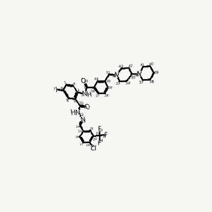 O=C(Nc1ccc(I)cc1C(=O)N/N=C/c1ccc(Cl)c(C(F)(F)F)c1)c1cccc(CN2CCC(N3CCCCC3)CC2)c1